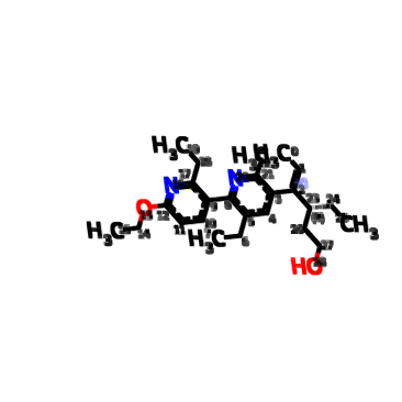 C/C=C(\c1cc(CC)c(-c2ccc(OCC)nc2CC)nc1C)[C@H](CC)CCO